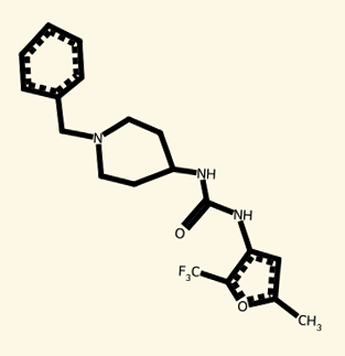 Cc1cc(NC(=O)NC2CCN(Cc3ccccc3)CC2)c(C(F)(F)F)o1